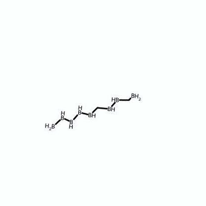 BBBBBCBBCB